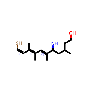 C\C(=C/C(C)=C(C)/C=C\S)C(=N)CC(C)CCO